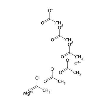 CC(=O)[O-].CC(=O)[O-].CC(=O)[O-].CC(=O)[O-].CC(=O)[O-].CC(=O)[O-].[C+4].[Mg+2]